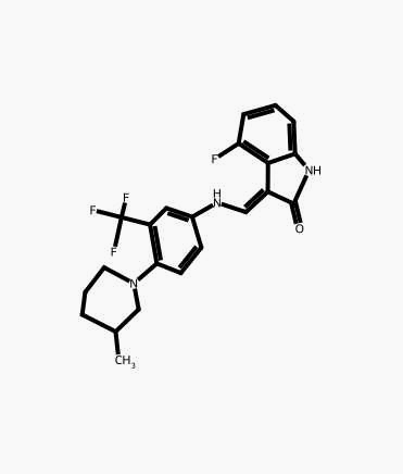 CC1CCCN(c2ccc(N/C=C3/C(=O)Nc4cccc(F)c43)cc2C(F)(F)F)C1